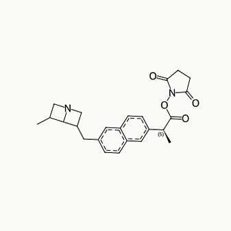 CC1CN2CC(Cc3ccc4cc([C@H](C)C(=O)ON5C(=O)CCC5=O)ccc4c3)C12